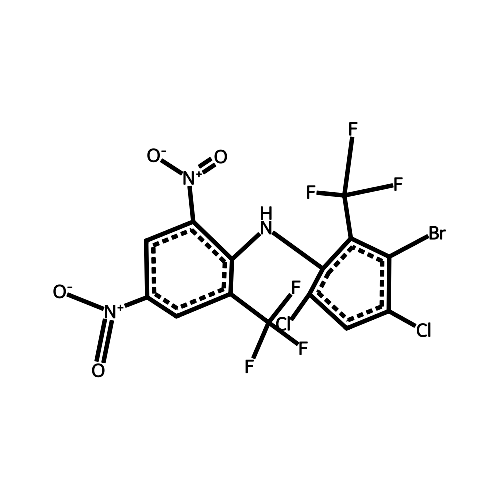 O=[N+]([O-])c1cc([N+](=O)[O-])c(Nc2c(Cl)cc(Cl)c(Br)c2C(F)(F)F)c(C(F)(F)F)c1